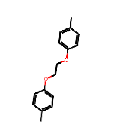 Cc1ccc(OCCOc2ccc(C)cc2)cc1